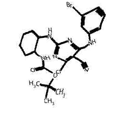 CC(C)(C)OC(=O)NC1CCCCC1Nc1nc(Cl)c(C#N)c(Nc2cccc(Br)c2)n1